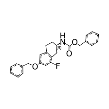 O=C(N[C@@H]1CCc2cc(OCc3ccccc3)cc(F)c2C1)OCc1ccccc1